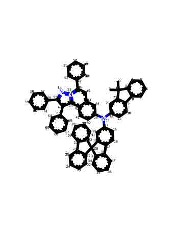 CC1(C)c2ccccc2-c2ccc(N(c3ccc4c(c3)C3(c5ccccc5-c5ccccc53)c3ccccc3-4)c3ccc4c(c3)cc(-c3ccccc3)n3nc(-c5ccccc5)c(-c5ccccc5)c43)cc21